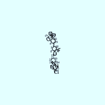 C[C@@H]1Oc2cc(-c3ccc(OC[C@H]4CCN(c5ncc(Cl)cn5)[C@@H](C)C4)c(F)c3)ccc2S1(=O)=O